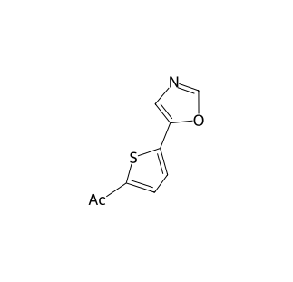 CC(=O)c1ccc(-c2cnco2)s1